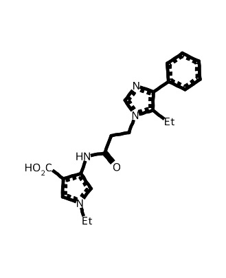 CCc1c(-c2ccccc2)ncn1CCC(=O)Nc1cn(CC)cc1C(=O)O